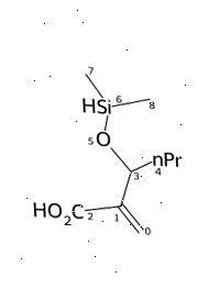 C=C(C(=O)O)C(CCC)O[SiH](C)C